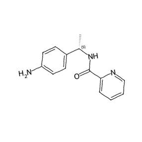 C[C@H](NC(=O)c1ccccn1)c1ccc(N)cc1